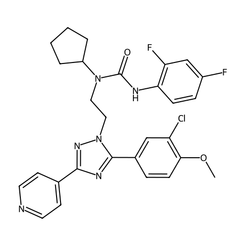 COc1ccc(-c2nc(-c3ccncc3)nn2CCN(C(=O)Nc2ccc(F)cc2F)C2CCCC2)cc1Cl